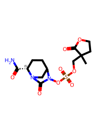 CC1(COS(=O)(=O)ON2C(=O)N3CC2CC[C@H]3C(N)=O)CCOC1=O